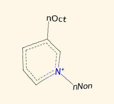 CCCCCCCCC[n+]1cccc(CCCCCCCC)c1